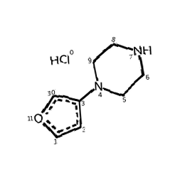 Cl.c1cc(N2CCNCC2)co1